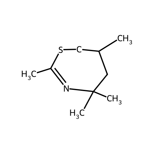 CC1=NC(C)(C)CC(C)CS1